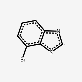 Brc1cccc2n[c]sc12